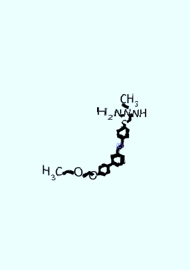 CCCCOCCOc1ccc(-c2cccc(/C=C/c3ccc(SCC(=N)N(CN)CCC)cc3)c2)cc1